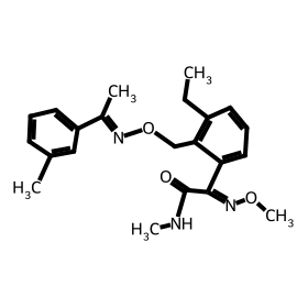 CCc1cccc(/C(=N\OC)C(=O)NC)c1CO/N=C(\C)c1cccc(C)c1